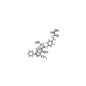 Cc1nn(-c2ccccc2)c(C)c1C(O)[C@H]1C[C@H](O)CN1Cc1ccc(/C=C/C(=O)NO)cc1